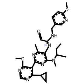 CCC(C)N(C)c1nc(-c2c(OC)ncnc2C2CC2)nc(C)c1/N=C(\C=O)NCc1ccc(SC)nc1